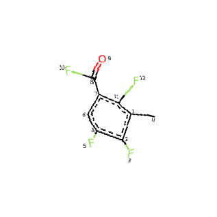 Cc1c(F)c(F)cc(C(=O)F)c1F